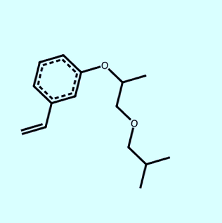 C=Cc1cccc(OC(C)COCC(C)C)c1